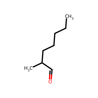 CCCCCC(C)[C]=O